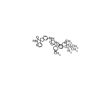 CN1CCC(C)(C(=O)N(CC(=O)Nc2ccc3c(c2)CC2(C3)C(=O)Nc3ncccc32)Cc2ccccc2CN(C)C(=O)OC(C)(C)C)CC1